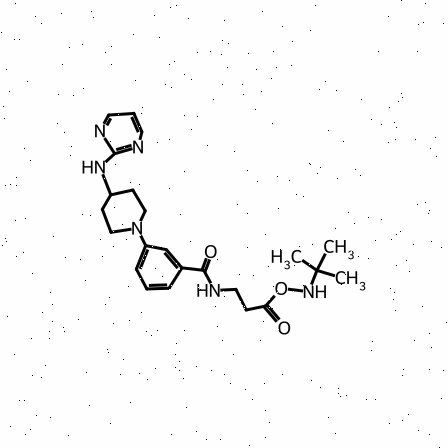 CC(C)(C)NOC(=O)CCNC(=O)c1cccc(N2CCC(Nc3ncccn3)CC2)c1